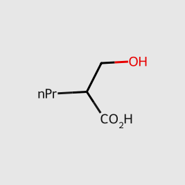 CCCC(CO)C(=O)O